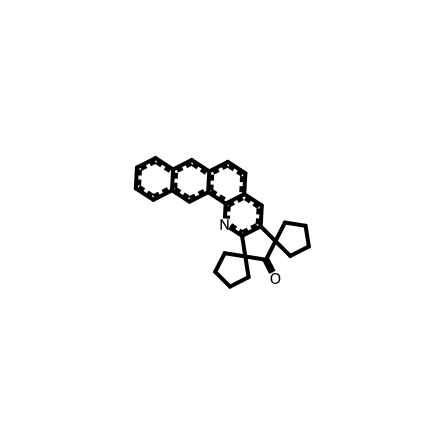 O=C1C2(CCCC2)c2cc3ccc4cc5ccccc5cc4c3nc2C12CCCC2